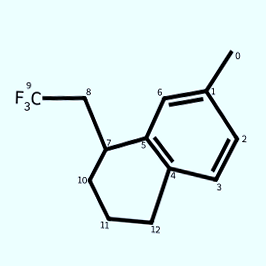 Cc1ccc2c(c1)C(CC(F)(F)F)CCC2